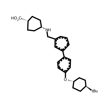 CC(C)(C)[C@H]1CC[C@H](Oc2ccc(-c3cccc(CN[C@H]4CC[C@@H](C(=O)O)CC4)c3)cc2)CC1